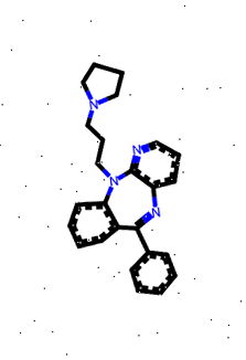 c1ccc(C2=Nc3cccnc3N(CCCN3CCCC3)c3ccccc32)cc1